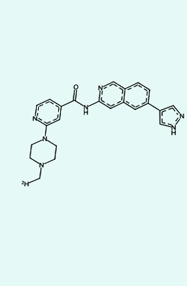 [2H]CN1CCN(c2cc(C(=O)Nc3cc4cc(-c5cn[nH]c5)ccc4cn3)ccn2)CC1